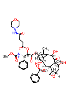 CC(=O)O[C@@]12CO[C@@H]1C[C@H](O)[C@@]1(C)C(=O)[C@H](O)C3=C(C)[C@@H](OC(=O)[C@H](OC(=O)CCC(=O)NN4CCOCC4)[C@@H](NC(=O)OC(C)(C)C)c4ccccc4)C[C@@](O)([C@@H](OC(=O)c4ccccc4)[C@H]21)C3(C)C